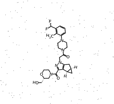 Cc1c(C(F)F)cccc1N1CCN(C(=O)Cn2nc(C(=O)N3CCO[C@@H](CO)C3)c3c2C[C@H]2C[C@@H]32)CC1